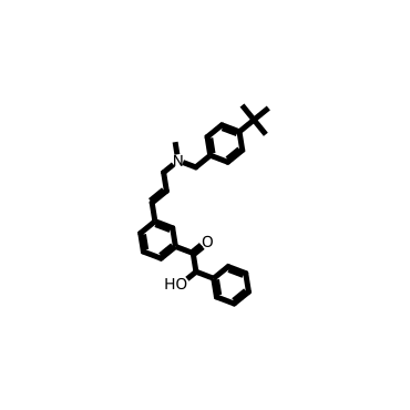 CN(CC=Cc1cccc(C(=O)C(O)c2ccccc2)c1)Cc1ccc(C(C)(C)C)cc1